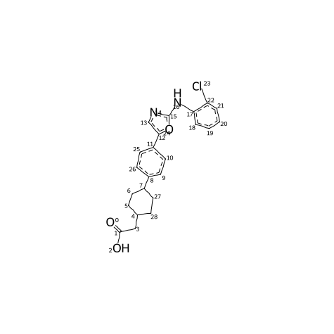 O=C(O)CC1CCC(c2ccc(-c3cnc(Nc4ccccc4Cl)o3)cc2)CC1